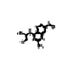 CCCC[C@H](CO)Nc1nc(N)nc2cc(OCC)cnc12